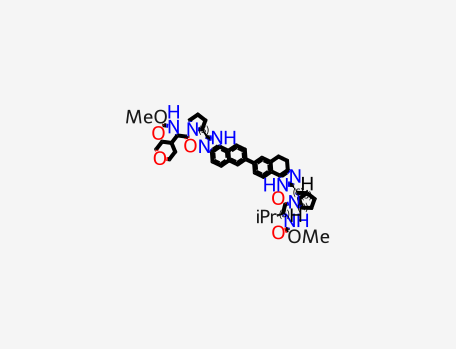 COC(=O)NC(C(=O)N1CCC[C@H]1c1nc2ccc3cc(-c4ccc5c(c4)CCc4nc([C@@H]6[C@H]7CC[C@H](C7)N6C(=O)[C@@H](NC(=O)OC)C(C)C)[nH]c4-5)ccc3c2[nH]1)C1CCOCC1